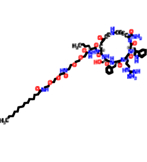 CCCCCCCCCCCCCC(=O)NCCOCCOCC(=O)NCCOCCOCC(=O)N[C@@H](CCCC)C(=O)N[C@H]1CCC(=O)CCNCCCC[C@@H](C(N)=O)NC(=O)[C@H](Cc2c[nH]c3ccccc23)NC(=O)[C@H](CCCNC(=N)N)NC(=O)[C@@H](Cc2ccccc2)NC(=O)[C@H](CO)NC1=O